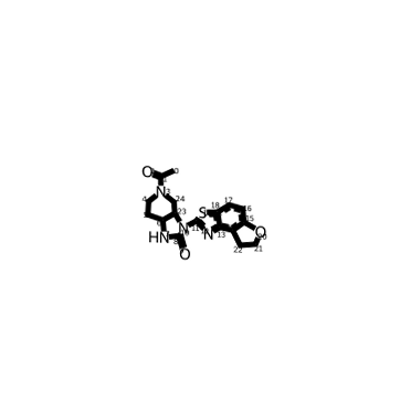 CC(=O)N1CCC2NC(=O)N(c3nc4c5c(ccc4s3)OCC5)C2C1